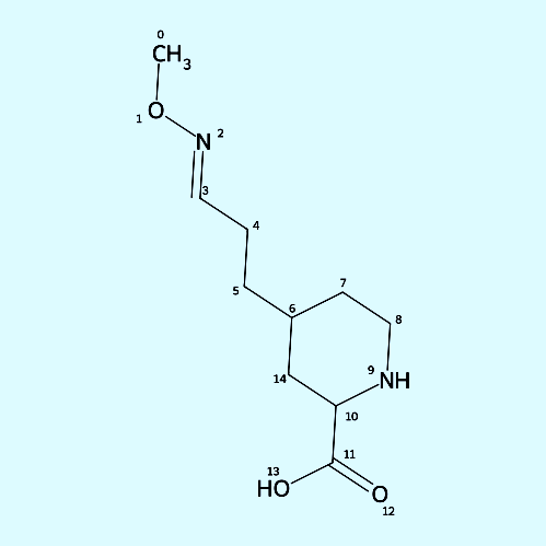 CON=CCCC1CCNC(C(=O)O)C1